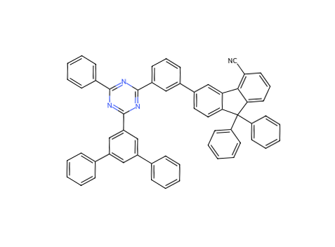 N#Cc1cccc2c1-c1cc(-c3cccc(-c4nc(-c5ccccc5)nc(-c5cc(-c6ccccc6)cc(-c6ccccc6)c5)n4)c3)ccc1C2(c1ccccc1)c1ccccc1